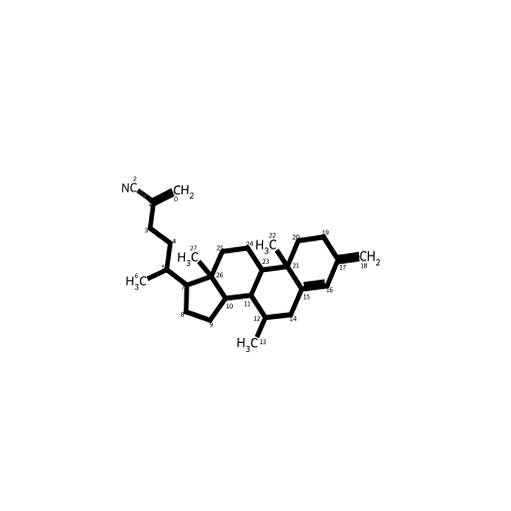 C=C(C#N)CCC(C)C1CCC2C3C(C)CC4=CC(=C)CCC4(C)C3CCC12C